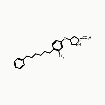 O=C(O)[C@@H]1CC(Oc2ccc(CCCCCCc3ccccc3)c(C(F)(F)F)c2)CN1